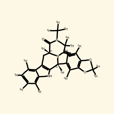 [2H]c1c([2H])c([C@]2([2H])c3[nH]c4c([2H])c([2H])c([2H])c([2H])c4c3C[C@]3([2H])C(=O)N(C([2H])([2H])[2H])C([2H])([2H])C(=O)N23)c([2H])c2c1OC([2H])([2H])O2